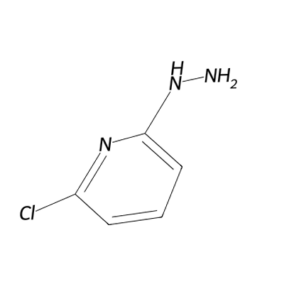 NNc1cccc(Cl)n1